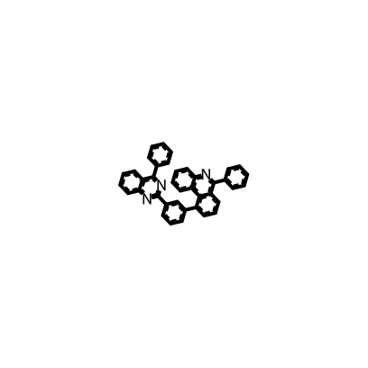 c1ccc(-c2nc(-c3cccc(-c4cccc5c(-c6ccccc6)nc6ccccc6c45)c3)nc3ccccc23)cc1